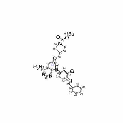 CC(C)(C)OC(=O)N1CCC(CO/N=C/c2c(N)ncnc2Nc2ccc(OCc3ccccc3)c(Cl)c2)CC1